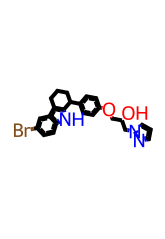 OC(COc1ccc(C2CCCc3c2[nH]c2ccc(Br)cc32)cc1)Cn1cccn1